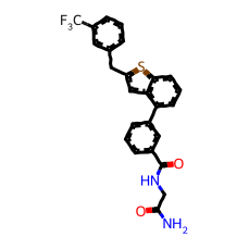 NC(=O)CNC(=O)c1cccc(-c2cccc3sc(Cc4cccc(C(F)(F)F)c4)cc23)c1